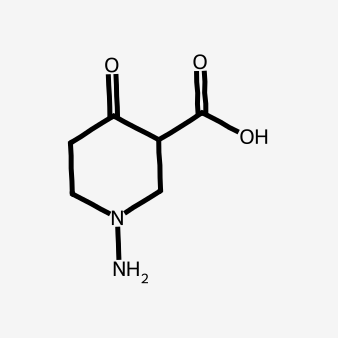 NN1CCC(=O)C(C(=O)O)C1